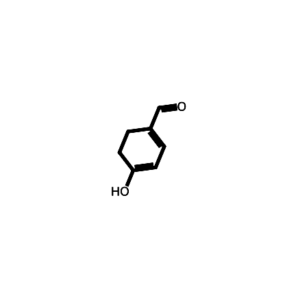 O=CC1=CC=C(O)CC1